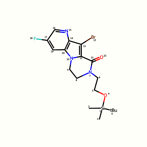 CC(C)(C)[Si](C)(C)OCCN1CCn2c(c(Br)c3ncc(F)cc32)C1=O